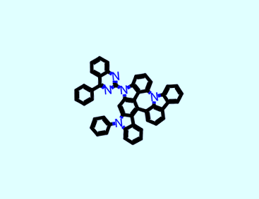 c1ccc(-c2nc(-n3c4cc5c(c6ccccc6n5-c5ccccc5)c5c6cccc7c8ccccc8n(c8cccc3c8c54)c76)nc3ccccc23)cc1